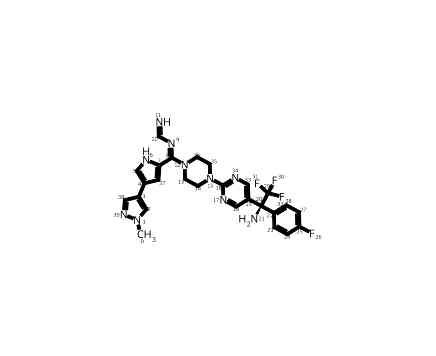 Cn1cc(-c2c[nH]c(/C(=N\C=N)N3CCN(c4ncc([C@@](N)(c5ccc(F)cc5)C(F)(F)F)cn4)CC3)c2)cn1